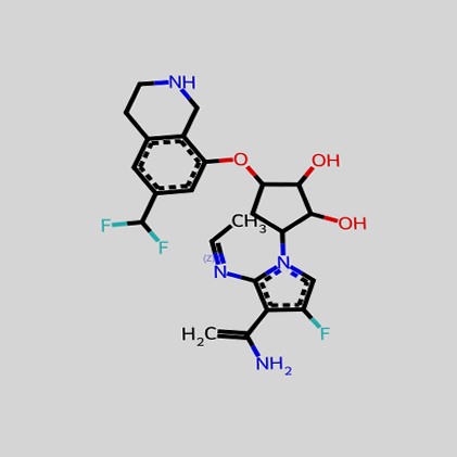 C=C(N)c1c(F)cn(C2CC(Oc3cc(C(F)F)cc4c3CNCC4)C(O)C2O)c1/N=C\C